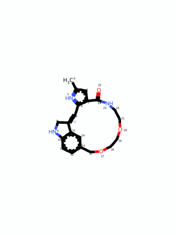 Cc1cc2c([nH]1)/C=C1\CNc3ccc(cc31)COCCOCCNC2=O